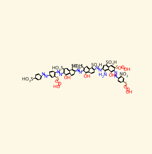 Nc1c(N=Nc2ccc3c(O)c(N=Nc4ccc5c(O)c(N=Nc6ccc(N=Nc7ccc(S(=O)(=O)O)cc7)cc6SOOO)c(S(=O)(=O)O)cc5c4S(=O)(=O)O)c(S(=O)(=O)O)cc3c2S(=O)(=O)O)cc(S(=O)(=O)O)c2cc(SOOO)c(N=Nc3ccc(SOOO)cc3[N+](=O)[O-])c(O)c12